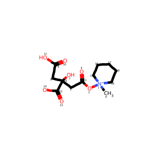 C[N+]1(OC(=O)CC(O)(CC(=O)O)C(=O)[O-])CCCCC1